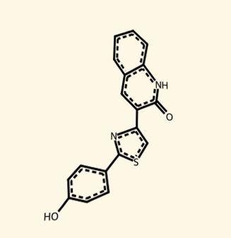 O=c1[nH]c2ccccc2cc1-c1csc(-c2ccc(O)cc2)n1